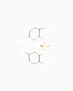 CC1CCC(C(C)C)C(OP(=O)(O)OC2CC(C)CCC2C(C)C)C1